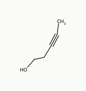 CC#CC[CH]O